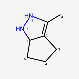 CC1=C2CCCC2NN1